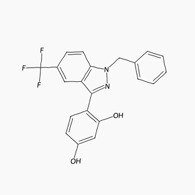 Oc1ccc(-c2nn(Cc3ccccc3)c3ccc(C(F)(F)F)cc23)c(O)c1